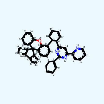 C1=CCCC(c2nc(-c3ccccn3)cc(C3C=CC=CC3c3cccc4c3Oc3ccccc3C43c4ccccc4-c4ccccc43)n2)=C1